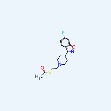 CC(=O)SCCN1CCC(c2noc3cc(F)ccc23)CC1